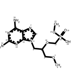 COCC(Cn1cnc2c(N)nc(N)nc21)OCP(=O)(O)OC